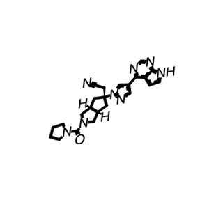 N#CC[C@]1(n2cc(-c3ncnc4[nH]ccc34)cn2)C[C@H]2CN(C(=O)N3CCCC3)C[C@H]2C1